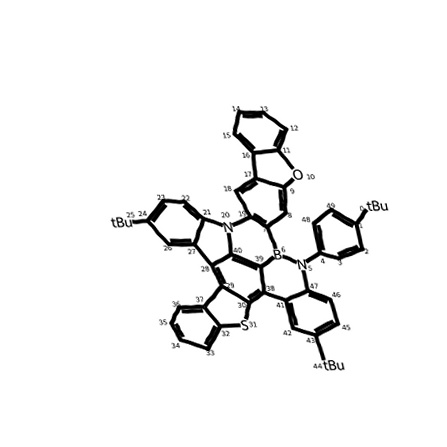 CC(C)(C)c1ccc(N2B3c4cc5oc6ccccc6c5cc4-n4c5ccc(C(C)(C)C)cc5c5c6c(sc7ccccc76)c(c3c54)-c3cc(C(C)(C)C)ccc32)cc1